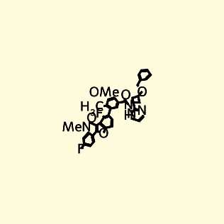 CNC(=O)c1c(-c2ccc(F)cc2)oc2ccc(-c3cc(C(=O)NC4(c5ncccn5)CC(OCc5ccccc5)C4)c(OC)cc3C)c(F)c12